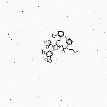 CCCCN(C(=O)CN1C[C@H](c2cc(OC)c3c(c2)OCO3)[C@@H](C(=O)O)[C@@H]1CCc1ccccc1OC)c1ccc[n+](C)c1